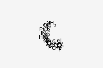 CCC(CC(C)(C)OC(N)=O)NC(=O)Nc1nc2cc(F)c(OC(C)c3c(Cl)ccc(F)c3Cl)cc2s1